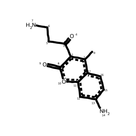 Cc1c(C(=O)CCN)c(=O)oc2cc(N)ccc12